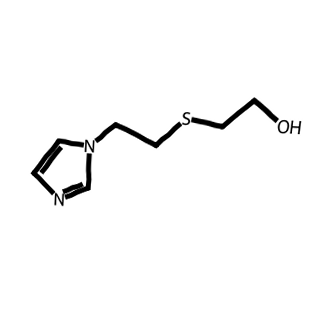 OCCSCCn1ccnc1